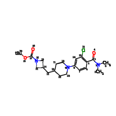 CN(C)C(=O)c1ccc(N2CCC(CC3CN(C(=O)OC(C)(C)C)C3)CC2)cc1Cl